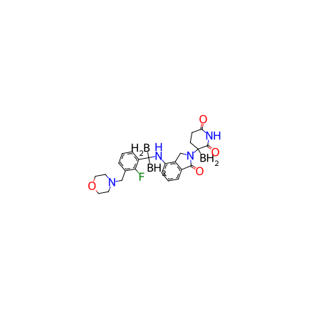 BC(B)(Nc1cccc2c1CN(C1(B)CCC(=O)NC1=O)C2=O)c1cccc(CN2CCOCC2)c1F